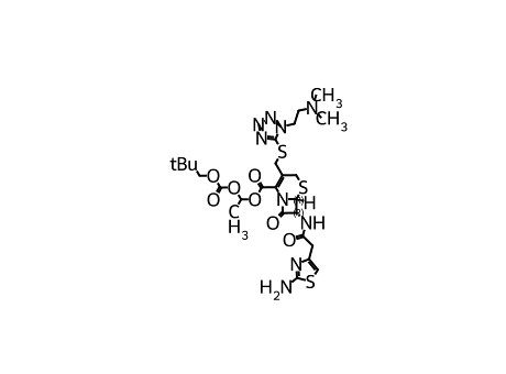 CC(OC(=O)OCC(C)(C)C)OC(=O)C1=C(CSc2nnnn2CCN(C)C)CS[C@@H]2[C@H](NC(=O)Cc3csc(N)n3)C(=O)N12